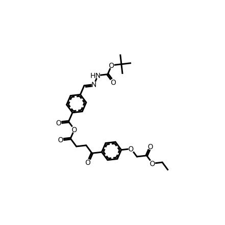 CCOC(=O)COc1ccc(C(=O)CCC(=O)OC(=O)c2ccc(C=NNC(=O)OC(C)(C)C)cc2)cc1